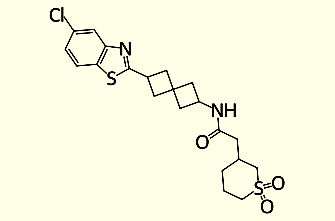 O=C(CC1CCCS(=O)(=O)C1)NC1CC2(C1)CC(c1nc3cc(Cl)ccc3s1)C2